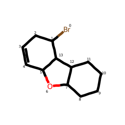 BrC1CC=CC2OC3CCCCC3C12